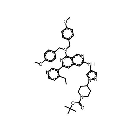 CCc1ccncc1-c1cc2cc(Nc3cnn(C4CCN(C(=O)OC(C)(C)C)CC4)c3)ncc2c(N(Cc2ccc(OC)cc2)Cc2ccc(OC)cc2)n1